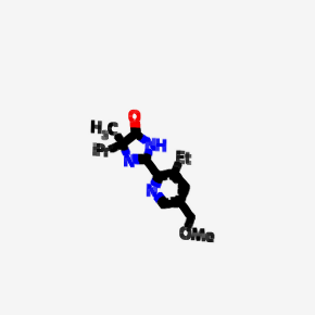 CCc1cc(COC)cnc1C1=NC(C)(C(C)C)C(=O)N1